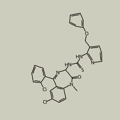 CN1C(=O)C(NC(=S)Nc2ncccc2COc2ccccc2)N=C(c2ccccc2Cl)c2cc(Cl)ccc21